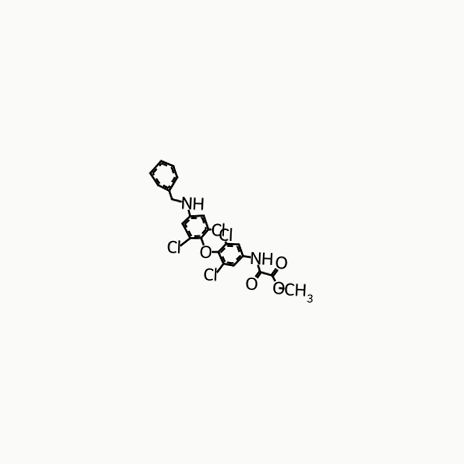 COC(=O)C(=O)Nc1cc(Cl)c(Oc2c(Cl)cc(NCc3ccccc3)cc2Cl)c(Cl)c1